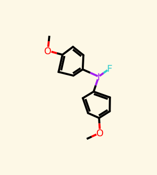 COc1ccc(I(F)c2ccc(OC)cc2)cc1